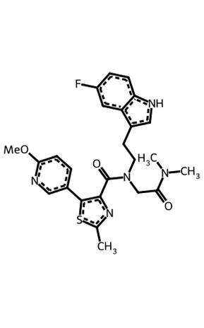 COc1ccc(-c2sc(C)nc2C(=O)N(CCc2c[nH]c3ccc(F)cc23)CC(=O)N(C)C)cn1